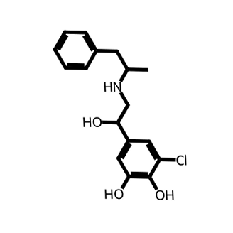 CC(Cc1ccccc1)NCC(O)c1cc(O)c(O)c(Cl)c1